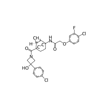 C[C@H]1CC2(NC(=O)COc3ccc(Cl)c(F)c3)CCC1(C(=O)N1CC(O)(c3ccc(Cl)cc3)C1)CC2